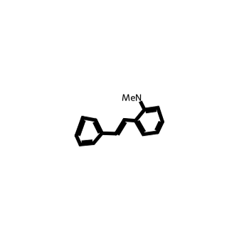 CNc1ccccc1C=Cc1ccccc1